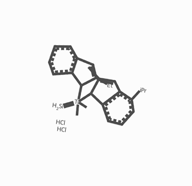 CCC1=Cc2ccccc2[CH]1[Ti]([CH3])([CH3])(=[SiH2])[CH]1C(C)=Cc2c(C(C)C)cccc21.Cl.Cl